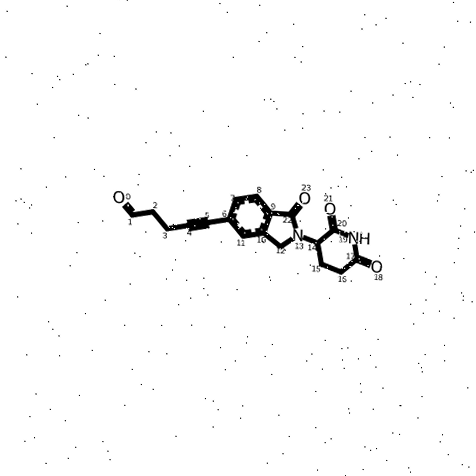 O=CCCC#Cc1ccc2c(c1)CN(C1CCC(=O)NC1=O)C2=O